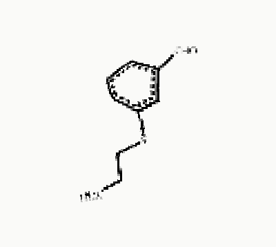 CCCCCCCCSc1cccc(C=O)c1